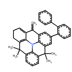 C=C1C2=CCCC3=C2N2c4c1cc(-c1ccccc1-c1ccccc1)cc4C(C)(C)c1cccc(c12)C3(C)C